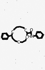 O=C(Nc1ccccc1)C1CCCCCCC(c2ccccc2)CCCCCC1